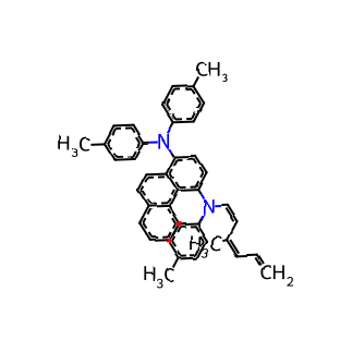 C=C/C=C(C)\C=C/N(c1ccc(C)cc1)c1ccc(N(c2ccc(C)cc2)c2ccc(C)cc2)c2ccc3ccccc3c12